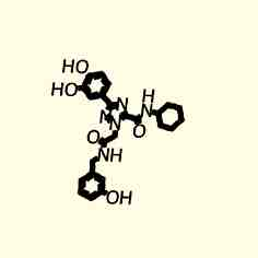 O=C(Cn1nc(-c2ccc(O)c(O)c2)nc1C(=O)NC1CCCCC1)NCc1cccc(O)c1